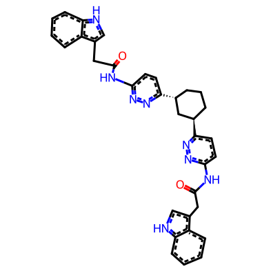 O=C(Cc1c[nH]c2ccccc12)Nc1ccc([C@@H]2CCC[C@@H](c3ccc(NC(=O)Cc4c[nH]c5ccccc45)nn3)C2)nn1